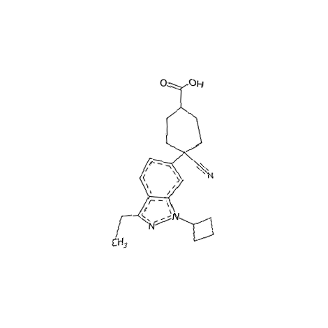 CCc1nn(C2CCC2)c2cc(C3(C#N)CCC(C(=O)O)CC3)ccc12